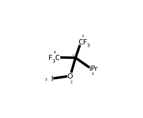 CC(C)C(OI)(C(F)(F)F)C(F)(F)F